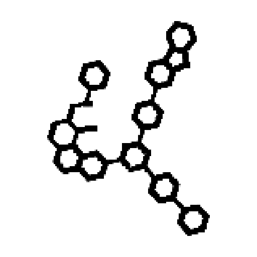 N=C1/C(=N\Nc2ccccc2)C=Cc2ccc3ccc(-c4nc(-c5ccc(-c6ccccc6)cc5)nc(-c5ccc(-c6ccc7c(c6)oc6ccccc67)cc5)n4)cc3c21